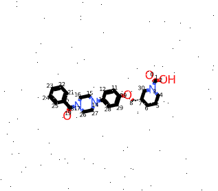 O=C(O)N1CCC[C@H](COc2ccc(N3CCN(C(=O)c4ccccc4)CC3)cc2)C1